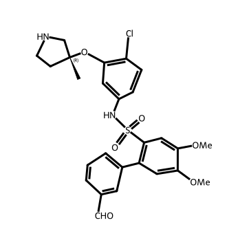 COc1cc(-c2cccc(C=O)c2)c(S(=O)(=O)Nc2ccc(Cl)c(O[C@]3(C)CCNC3)c2)cc1OC